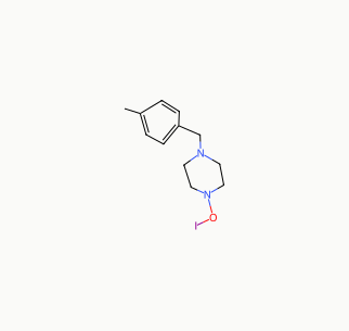 Cc1ccc(CN2CCN(OI)CC2)cc1